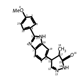 COc1ccc(-c2nc3ccc(C4C=NNC(=O)C4C)cc3[nH]2)cc1